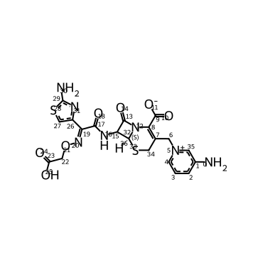 Nc1ccc[n+](CC2=C(C(=O)[O-])N3C(=O)C(NC(=O)C(=NOCC(=O)O)c4csc(N)n4)[C@@H]3SC2)c1